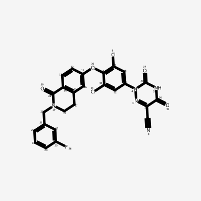 N#Cc1nn(-c2cc(Cl)c(Oc3ccc4c(c3)CCN(Cc3cccc(F)c3)C4=O)c(Cl)c2)c(=O)[nH]c1=O